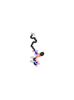 CC/C=C\C/C=C\C/C=C\C/C=C\C/C=C\CCCC(=O)NCCNP(=O)(OC[C@H]1O[C@@H](n2ccc(=O)[nH]c2=O)[C@](C)(F)[C@@H]1O)Oc1ccccc1